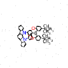 CC(C)(C)c1ccc2c(c1)B1c3cc(C(C)(C)C)ccc3Oc3cc(-n4c5ccccc5c5ccc6c(c54)N(c4ccccc4)C4C=CC=CC64)cc(c31)O2